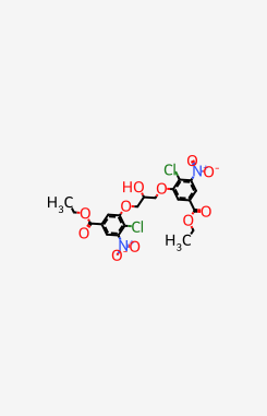 CCOC(=O)c1cc(OCC(O)COc2cc(C(=O)OCC)cc([N+](=O)[O-])c2Cl)c(Cl)c([N+](=O)[O-])c1